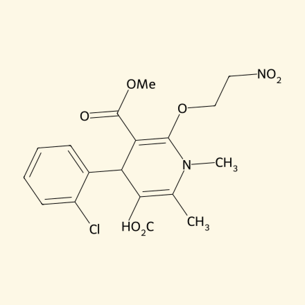 COC(=O)C1=C(OCC[N+](=O)[O-])N(C)C(C)=C(C(=O)O)C1c1ccccc1Cl